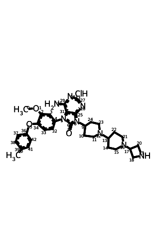 COc1cc(-n2c(=O)n(C3CCN(C4CCN(C5CNC5)CC4)CC3)c3ncnc(N)c32)ccc1Oc1ccc(C)cc1.Cl